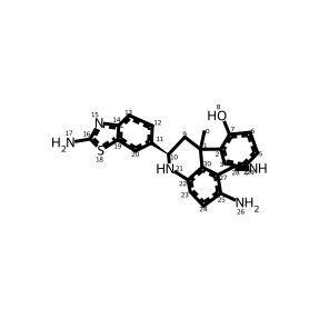 CC1(c2ccccc2O)C[C@H](c2ccc3nc(N)sc3c2)Nc2ccc(N)c(C=N)c21